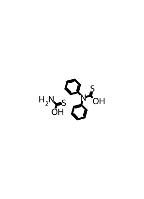 NC(O)=S.OC(=S)N(c1ccccc1)c1ccccc1